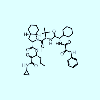 CCC[C@H](NC(=O)[C@@H]1C[C@@H]2CCCC[C@@H]2N1C(=O)[C@@H](NC(=O)[C@@H](NC(=O)C(=O)Nc1ccccc1)C1CCCCC1)C(C)(C)C)C(=O)C(=O)NC1CC1